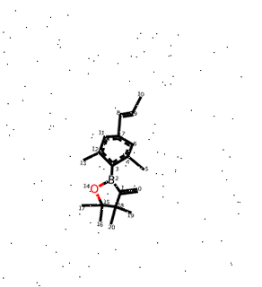 C=C1B(c2c(C)cc(/C=C/C)cc2C)OC(C)(C)C1(C)C